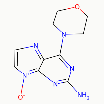 Nc1nc(N2CCOCC2)c2ncc[n+]([O-])c2n1